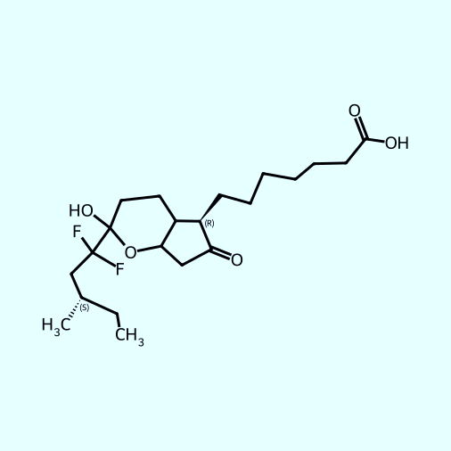 CC[C@H](C)CC(F)(F)C1(O)CCC2C(CC(=O)[C@@H]2CCCCCCC(=O)O)O1